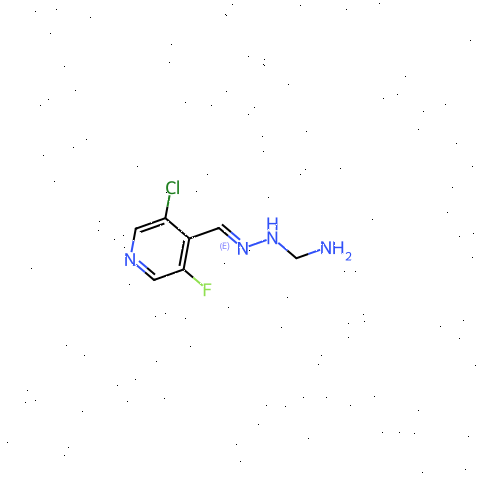 NCN/N=C/c1c(F)cncc1Cl